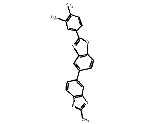 Cc1nc2cc(-c3ccc4oc(-c5ccc(C)c(C)c5)nc4c3)ccc2o1